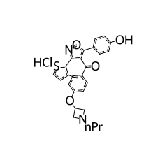 CCCN1CC(Oc2ccc(C(=O)c3c(-c4sccc4C)noc3-c3ccc(O)cc3)cc2)C1.Cl